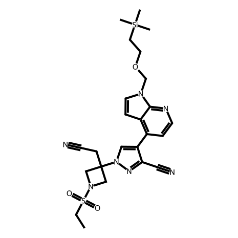 CCS(=O)(=O)N1CC(CC#N)(n2cc(-c3ccnc4c3ccn4COCC[Si](C)(C)C)c(C#N)n2)C1